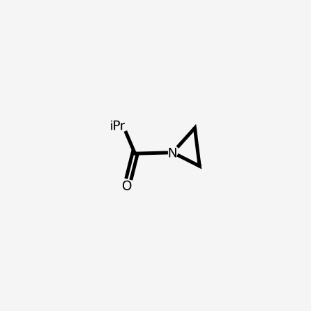 CC(C)C(=O)N1CC1